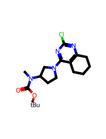 CN(C(=O)OC(C)(C)C)C1CCN(c2nc(Cl)nc3c2CCCC3)C1